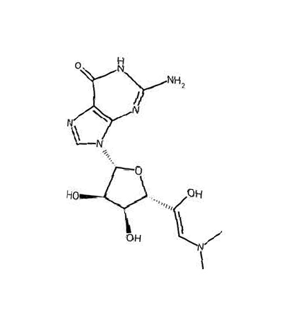 CN(C)/C=C(\O)[C@H]1O[C@@H](n2cnc3c(=O)[nH]c(N)nc32)[C@H](O)[C@@H]1O